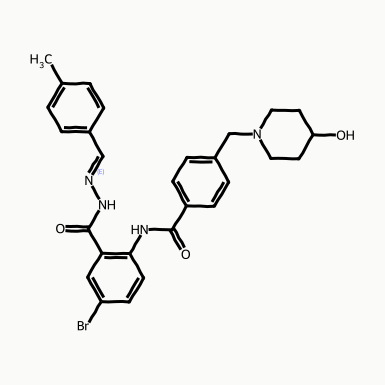 Cc1ccc(/C=N/NC(=O)c2cc(Br)ccc2NC(=O)c2ccc(CN3CCC(O)CC3)cc2)cc1